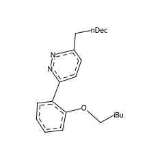 CCCCCCCCCCCc1ccc(-c2ccccc2OCC(C)CC)nn1